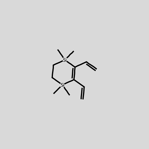 C=CC1=C(C=C)[Si](C)(C)CC[Si]1(C)C